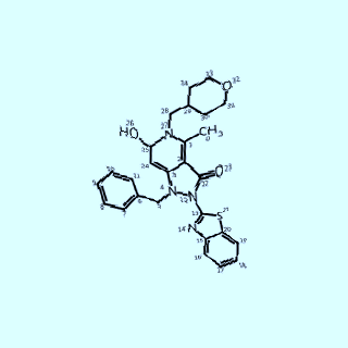 CC1=c2c(n(Cc3ccccc3)n(-c3nc4ccccc4s3)c2=O)=CC(O)N1CC1CCOCC1